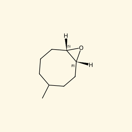 CC1CCC[C@@H]2O[C@@H]2CC1